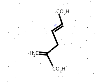 C=C(C/C=C/C(=O)O)C(=O)O